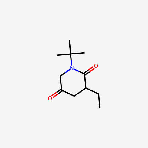 CCC1CC(=O)CN(C(C)(C)C)C1=O